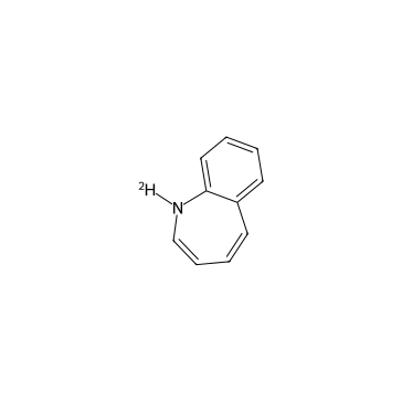 [2H]N1C=CC=Cc2ccccc21